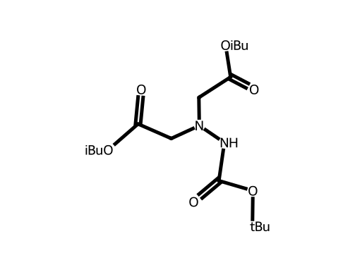 CC(C)COC(=O)CN(CC(=O)OCC(C)C)NC(=O)OC(C)(C)C